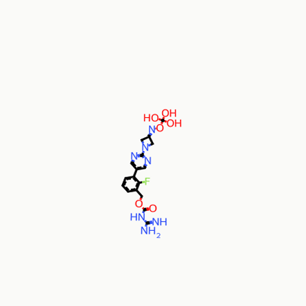 N=C(N)NC(=O)OCc1cccc(-c2cnc(N3CC(=NOC(O)(O)O)C3)nc2)c1F